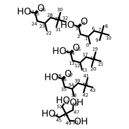 CC(CC(=O)O)CC(C)(C)C.CC(CC(=O)O)CC(C)(C)C.CC(CC(=O)O)CC(C)(C)C.CC(CC(=O)O)CC(C)(C)C.OCC(CO)(CO)CO